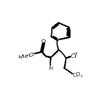 COC(=O)C(C(C)=O)C(c1ccccc1)C(Cl)CC(Cl)(Cl)Cl